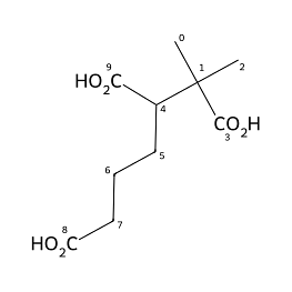 CC(C)(C(=O)O)C(CCCC(=O)O)C(=O)O